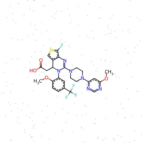 COc1cc(N2CCN(C3=Nc4c(csc4F)C(CC(=O)O)N3c3cc(C(F)(F)F)ccc3OC)CC2)ncn1